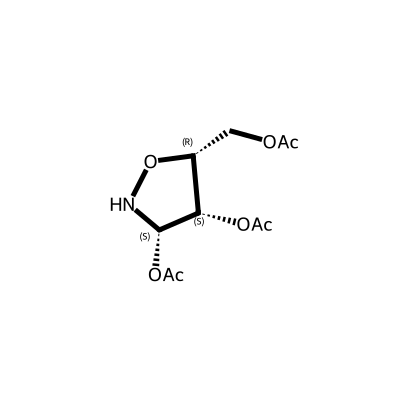 CC(=O)OC[C@H]1ON[C@@H](OC(C)=O)[C@H]1OC(C)=O